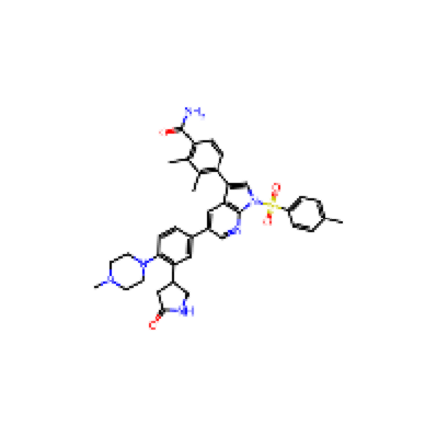 Cc1ccc(S(=O)(=O)n2cc(-c3ccc(C(N)=O)c(C)c3C)c3cc(-c4ccc(N5CCN(C)CC5)c(C5CNC(=O)C5)c4)cnc32)cc1